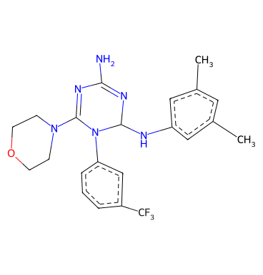 Cc1cc(C)cc(NC2N=C(N)N=C(N3CCOCC3)N2c2cccc(C(F)(F)F)c2)c1